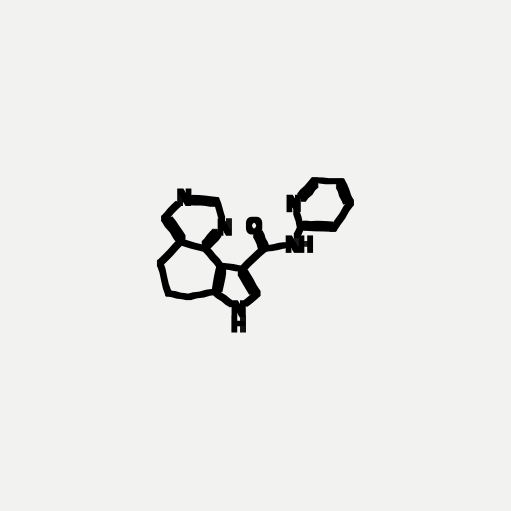 O=C(Nc1ccccn1)c1c[nH]c2c1-c1ncncc1CCC2